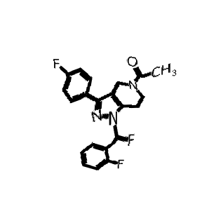 CC(=O)N1CCc2c(c(-c3ccc(F)cc3)nn2C(F)c2ccccc2F)C1